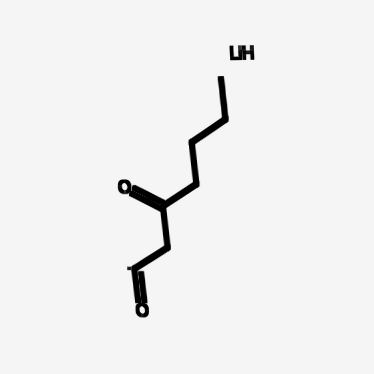 CCCCC(=O)C[C]=O.[LiH]